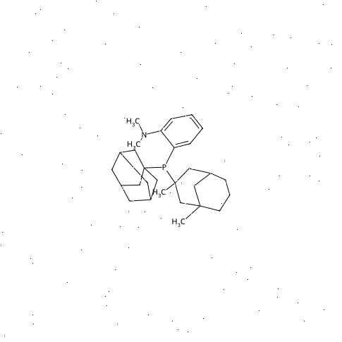 CN(C)c1ccccc1P(C1(C)CC2CCCC(C)(C2)C1)C12CC3CC(CC(C3)C1)C2